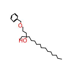 CCCCCCCCCCCCCC(O)(CC)CCCOCc1ccccc1